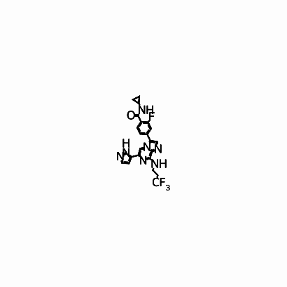 O=C(NC1CC1)c1ccc(-c2cnc3c(NCCC(F)(F)F)nc(-c4ccn[nH]4)cn23)cc1F